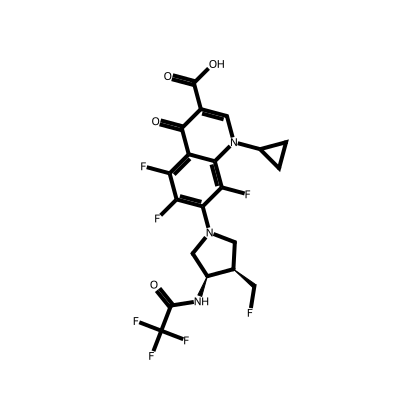 O=C(O)c1cn(C2CC2)c2c(F)c(N3C[C@@H](CF)[C@@H](NC(=O)C(F)(F)F)C3)c(F)c(F)c2c1=O